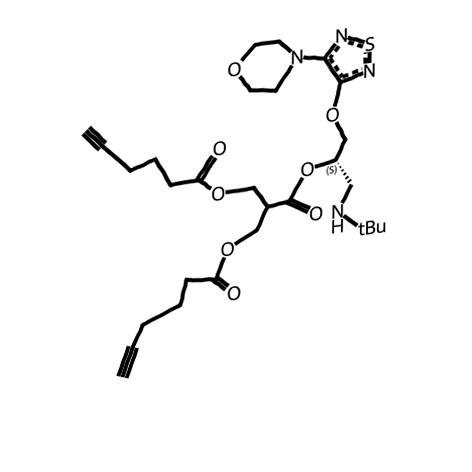 C#CCCCC(=O)OCC(COC(=O)CCCC#C)C(=O)O[C@@H](CNC(C)(C)C)COc1nsnc1N1CCOCC1